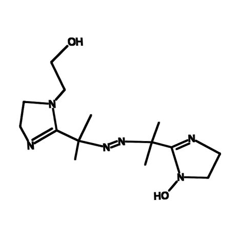 CC(C)(N=NC(C)(C)C1=NCCN1CCO)C1=NCCN1O